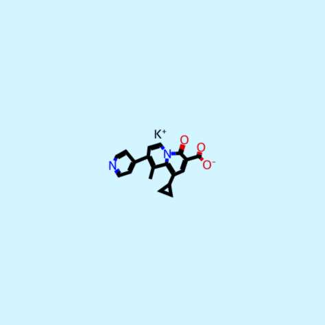 Cc1c(-c2ccncc2)ccn2c(=O)c(C(=O)[O-])cc(C3CC3)c12.[K+]